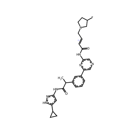 CC(C(=O)Nc1cc(C2CC2)[nH]n1)c1cccc(-c2cncc(NC(=O)/C=C/CN3CCC(F)C3)n2)c1